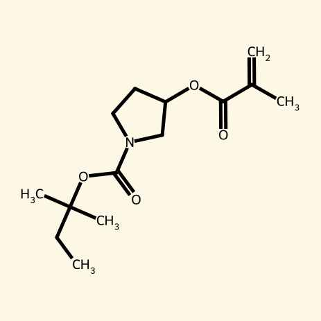 C=C(C)C(=O)OC1CCN(C(=O)OC(C)(C)CC)C1